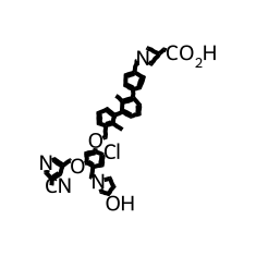 Cc1c(COc2cc(OCc3cncc(C#N)c3)c(CN3CC[C@@H](O)C3)cc2Cl)cccc1-c1cccc(-c2ccc(CN3CC(CC(=O)O)C3)cc2)c1C